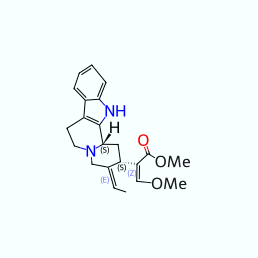 C/C=C1/CN2CCc3c([nH]c4ccccc34)[C@@H]2C[C@@H]1/C(=C/OC)C(=O)OC